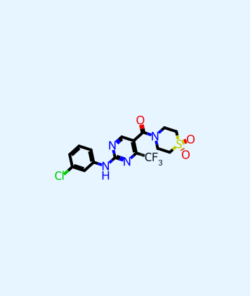 O=C(c1cnc(Nc2cccc(Cl)c2)nc1C(F)(F)F)N1CCS(=O)(=O)CC1